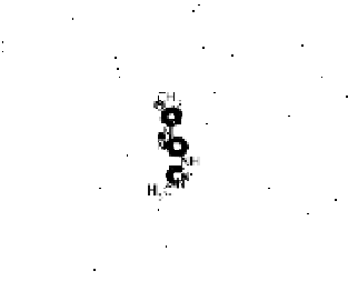 COc1cccc(-n2cnc3cc(Nc4ccc(C)nn4)ccc32)c1